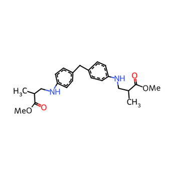 COC(=O)C(C)CNc1ccc(Cc2ccc(NCC(C)C(=O)OC)cc2)cc1